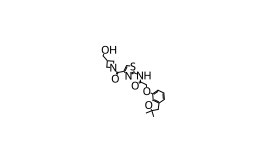 CC1(C)Cc2cccc(OCC(=O)Nc3nc(C(=O)N4CC(CO)C4)cs3)c2O1